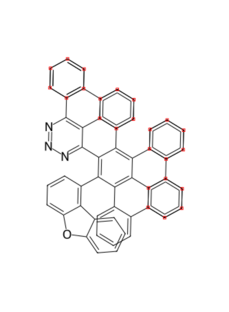 c1ccc(-c2ccccc2-c2c(-c3ccccc3)nnnc2-c2c(-c3ccccc3)c(-c3ccccc3)c(-c3ccccc3-c3ccccc3)c(-c3ccccc3-c3ccccc3)c2-c2cccc3oc4ccccc4c23)cc1